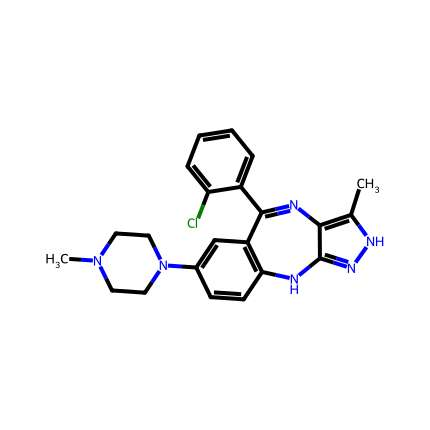 Cc1[nH]nc2c1N=C(c1ccccc1Cl)c1cc(N3CCN(C)CC3)ccc1N2